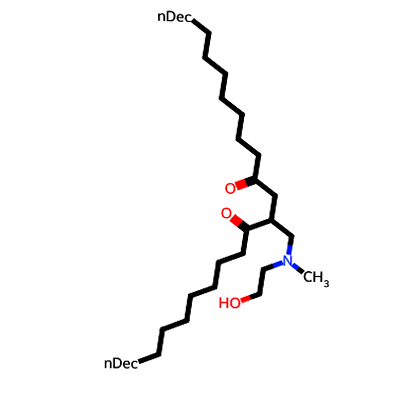 CCCCCCCCCCCCCCCCCC(=O)CC(CN(C)CCO)C(=O)CCCCCCCCCCCCCCCCC